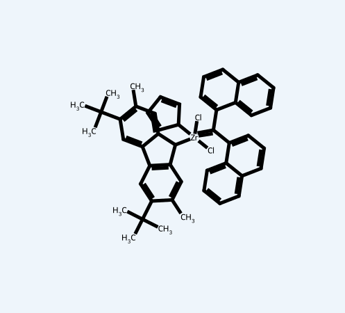 Cc1cc2c(cc1C(C)(C)C)-c1cc(C(C)(C)C)c(C)cc1[CH]2[Zr]([Cl])([Cl])(=[C](c1cccc2ccccc12)c1cccc2ccccc12)[CH]1C=CC=C1